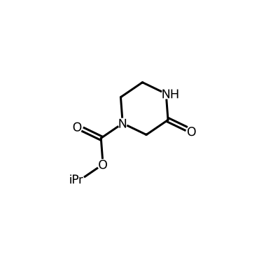 CC(C)OC(=O)N1CCNC(=O)C1